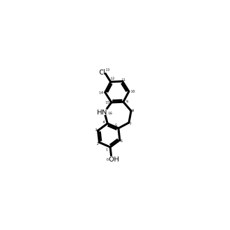 Oc1ccc2c(c1)CCc1ccc(Cl)cc1N2